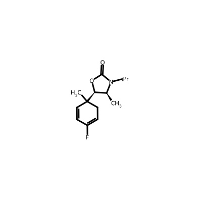 CC(C)N1C(=O)O[C@H](C2(C)C=CC(F)=CC2)[C@@H]1C